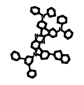 c1ccc(-c2cc(-c3ccccc3)cc(-n3c4ccc(-c5ccc6ccccc6c5)cc4c4c5nc6c7ccc(N(c8ccccc8)c8ccccc8)cc7c7cc(N(c8ccccc8)c8ccccc8)ccc7c6nc5ccc43)c2)cc1